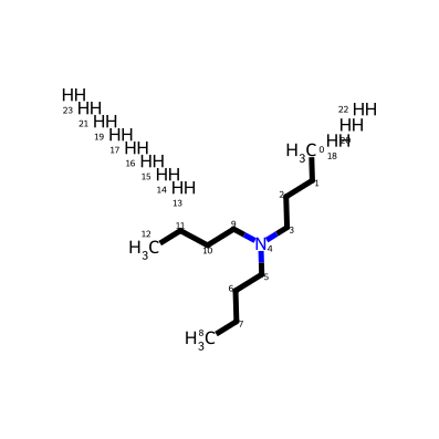 CCCCN(CCCC)CCCC.[HH].[HH].[HH].[HH].[HH].[HH].[HH].[HH].[HH].[HH].[HH]